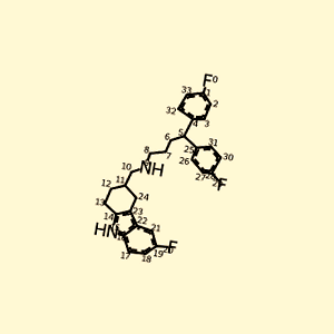 Fc1ccc(C(CCCNCC2CCc3[nH]c4ccc(F)cc4c3C2)c2ccc(F)cc2)cc1